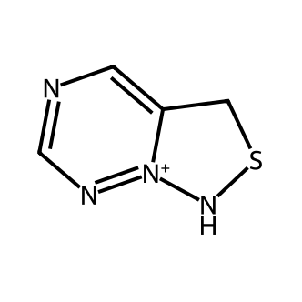 c1ncc2[n+](n1)NSC2